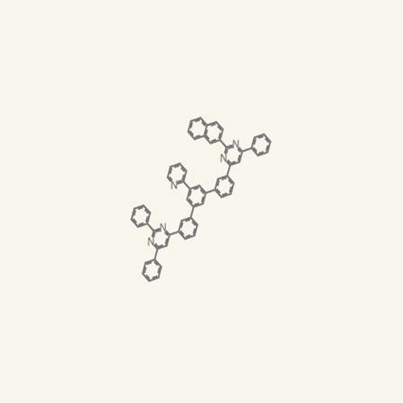 c1ccc(-c2cc(-c3cccc(-c4cc(-c5cccc(-c6cc(-c7ccccc7)nc(-c7ccc8ccccc8c7)n6)c5)cc(-c5ccccn5)c4)c3)nc(-c3ccccc3)n2)cc1